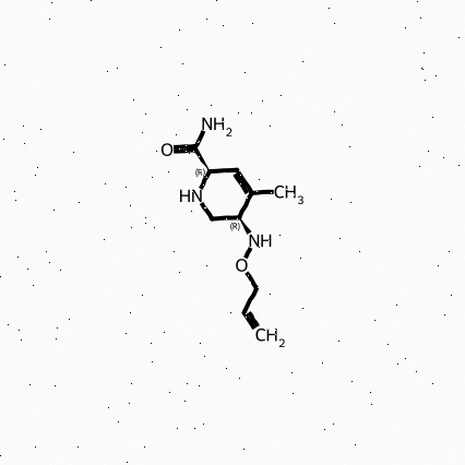 C=CCON[C@H]1CN[C@@H](C(N)=O)C=C1C